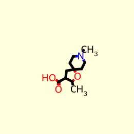 CC1OC2(CCN(C)CC2)CC1C(=O)O